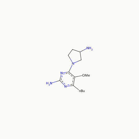 CCCCc1nc(N)nc(N2CCC(N)C2)c1OC